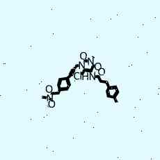 CON(C)C(=O)Cc1ccc(C#CCn2c(Cl)c(NC(=O)CCc3ccc(C)cc3)c(=O)n(C)c2=O)cc1